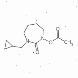 CC(=O)ON1CCCCN(CC2CC2)C1=O